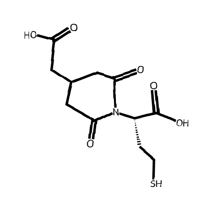 O=C(O)CC1CC(=O)N([C@@H](CCS)C(=O)O)C(=O)C1